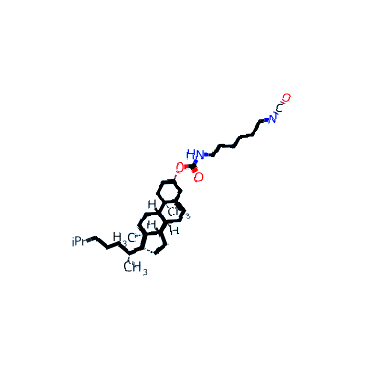 CC(C)CCC[C@@H](C)[C@H]1CC[C@H]2[C@@H]3CC=C4C[C@@H](OC(=O)NCCCCCCN=C=O)CC[C@]4(C)[C@H]3CC[C@]12C